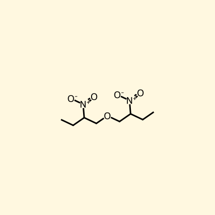 CCC(COCC(CC)[N+](=O)[O-])[N+](=O)[O-]